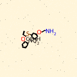 C=CC(Oc1ccccc1[N+](=O)[O-])(Sc1cccc(OCCN)c1)C(=O)O